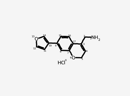 Cl.NCC1=CCOc2cc(-c3ccoc3)ccc21